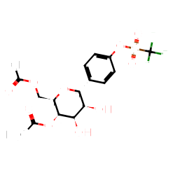 CC(=O)OC[C@H]1O[C@H](c2ccc(OS(=O)(=O)C(F)(F)F)cc2)[C@@H](O)[C@@H](O)[C@H]1OC(C)=O